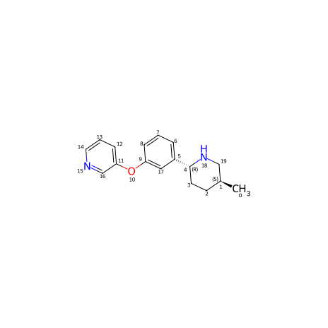 C[C@H]1CC[C@H](c2cccc(Oc3cccnc3)c2)NC1